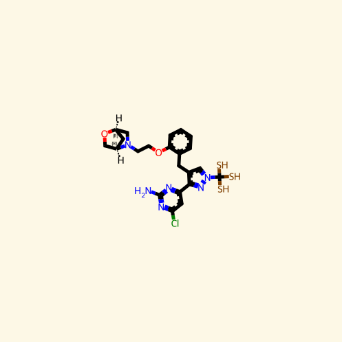 Nc1nc(Cl)cc(-c2nn(C(S)(S)S)cc2Cc2ccccc2OCCN2C[C@H]3C[C@@H]2CO3)n1